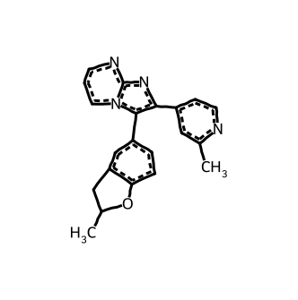 Cc1cc(-c2nc3ncccn3c2-c2ccc3c(c2)CC(C)O3)ccn1